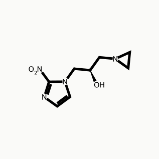 O=[N+]([O-])c1nccn1C[C@H](O)CN1CC1